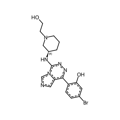 OCCN1CCC[C@@H](Nc2nnc(-c3ccc(Br)cc3O)c3cncn23)C1